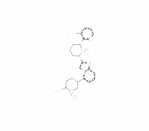 Cc1cccnc1[C@@H]1CCC[C@H](c2cn3c(C4CCC(O)N(C)C4)cccc3n2)N1